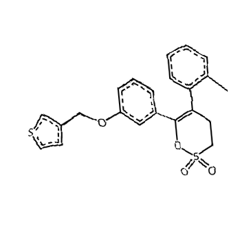 Cc1ccccc1C1=C(c2cccc(OCc3ccsc3)c2)OS(=O)(=O)CC1